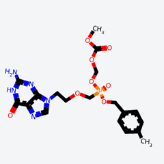 COC(=O)OCOP(=O)(COCCn1cnc2c(=O)[nH]c(N)nc21)OCc1ccc(C)cc1